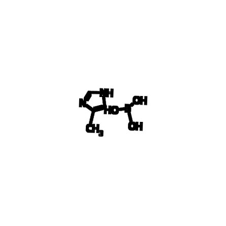 Cc1c[nH]cn1.OB(O)O